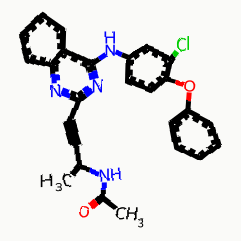 CC(=O)NC(C)C#Cc1nc(Nc2ccc(Oc3ccccc3)c(Cl)c2)c2ccccc2n1